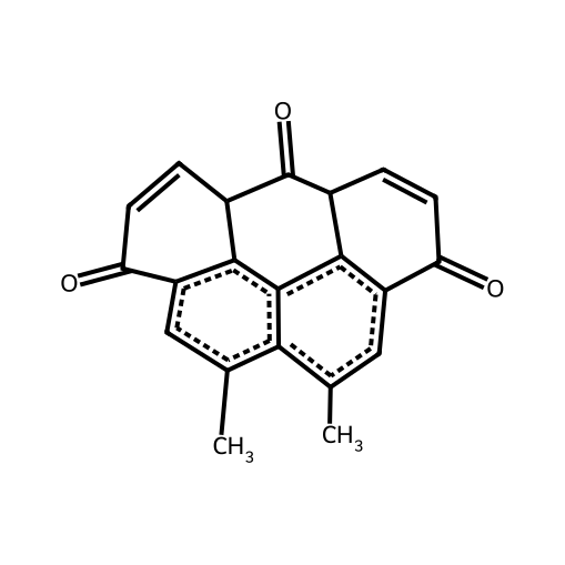 Cc1cc2c3c4c5c(cc(C)c14)C(=O)C=CC5C(=O)C3C=CC2=O